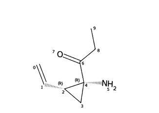 C=C[C@H]1C[C@]1(N)C(=O)CC